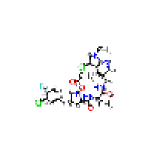 CC(=O)ON1C[C@@H](Cc2ccc(F)c(Cl)c2)C[C@@H]1C(=O)N[C@@H](C)C(=O)NCc1cnc2c(c1)c(Cl)cn2C